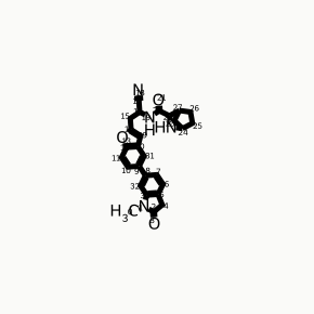 CN1C(=O)Cc2ccc(-c3ccc4oc(CC(C#N)NC(=O)C5NC6CCC5C6)cc4c3)cc21